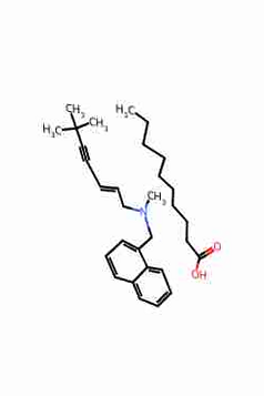 CCCCCCCCCC(=O)O.CN(C/C=C/C#CC(C)(C)C)Cc1cccc2ccccc12